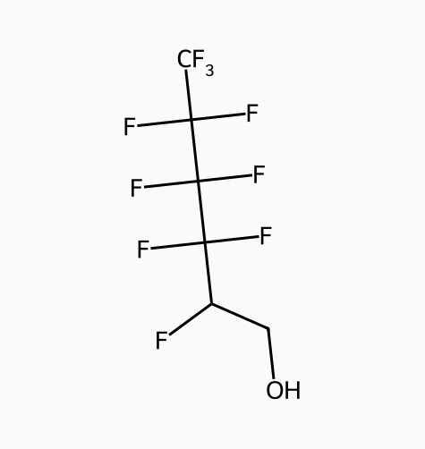 OCC(F)C(F)(F)C(F)(F)C(F)(F)C(F)(F)F